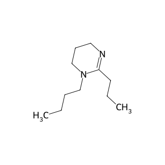 CCCCN1CCCN=C1CCC